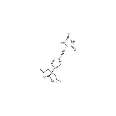 CCCC(CCC)(C(N)=O)c1ccc(C#C[C@@H]2NC(=O)NC2=O)cc1